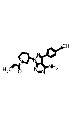 C#Cc1ccc(-c2nn(C3CCCN(C(=O)C=C)C3)c3ncnc(N)c23)cc1